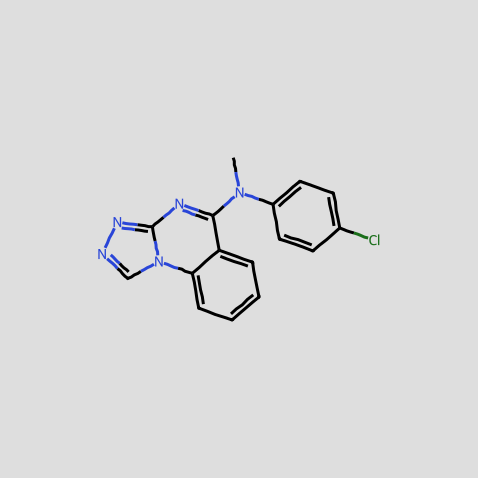 CN(c1ccc(Cl)cc1)c1nc2nncn2c2ccccc12